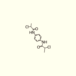 CC(Cl)C(=O)Nc1ccc(NC(=O)C(C)Cl)cc1